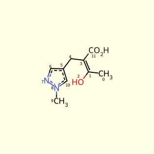 CC(O)=C(Cc1cnn(C)c1)C(=O)O